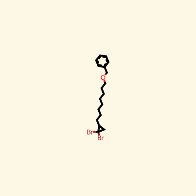 BrC1(Br)CC1CCCCCCCCOCc1ccccc1